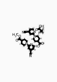 COC(=O)C1CCN(c2cc(C#N)ccn2)CC1.N#Cc1ccnc(N2CCC(C(=O)O)CC2)c1.O=C(O)C(F)(F)F